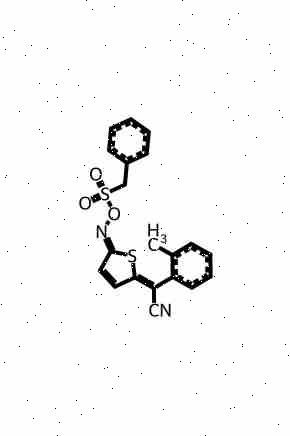 Cc1ccccc1C(C#N)=C1C=CC(=NOS(=O)(=O)Cc2ccccc2)S1